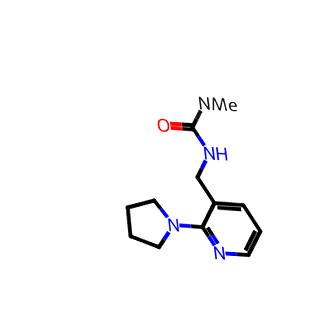 CNC(=O)NCc1cccnc1N1CCCC1